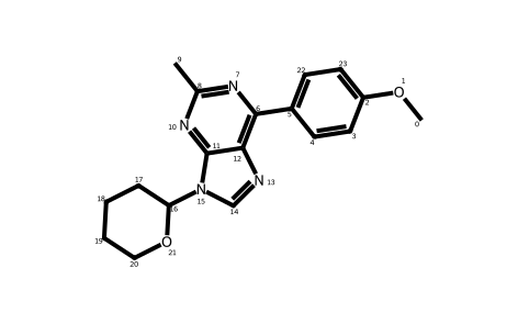 COc1ccc(-c2nc(C)nc3c2ncn3C2CCCCO2)cc1